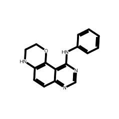 c1ccc(Nc2ncnc3ccc4c(c23)OCCN4)cc1